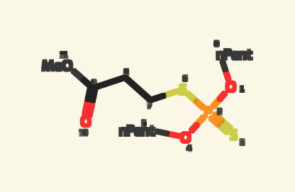 CCCCCOP(=S)(OCCCCC)SCCC(=O)OC